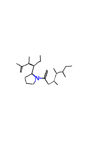 C=C(C)C(C)C(CC)C1CCCN1C(=C)CC(C)C(C)C(C)CC